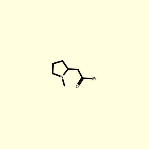 CC(C)C(=O)CC1CCCN1C